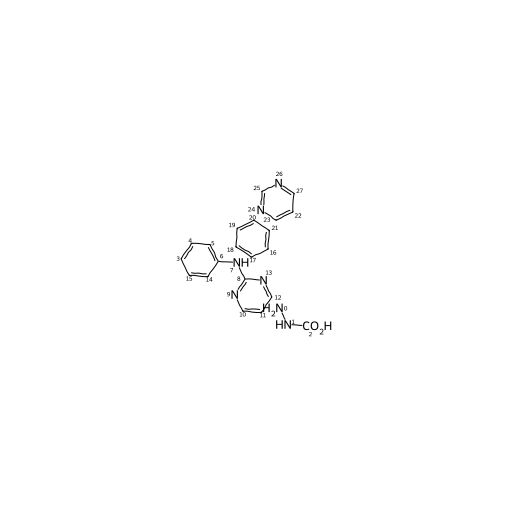 NNC(=O)O.c1ccc(Nc2ncccn2)cc1.c1ccccc1.c1cncnc1